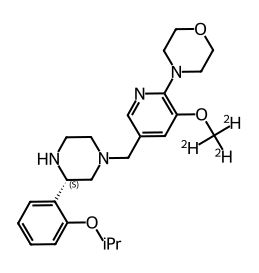 [2H]C([2H])([2H])Oc1cc(CN2CCN[C@@H](c3ccccc3OC(C)C)C2)cnc1N1CCOCC1